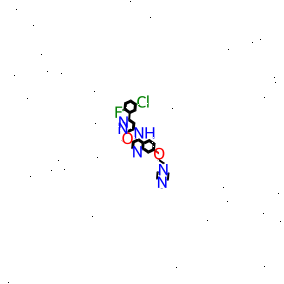 COc1nnc(-c2cc(Cl)ccc2F)cc1Nc1ccnc2cc(OCCN3CCN(C)CC3)ccc12